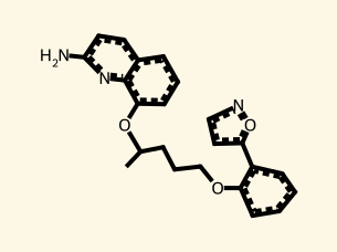 CC(CCCOc1ccccc1-c1ccno1)Oc1cccc2ccc(N)nc12